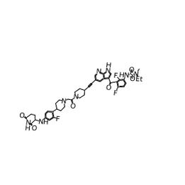 CCN(C)S(=O)(=O)Nc1ccc(F)c(C(=O)c2c[nH]c3ncc(C#CC4CCN(C(=O)CN5CCC(c6ccc(NC7CCC(=O)NC7=O)cc6F)CC5)CC4)cc23)c1F